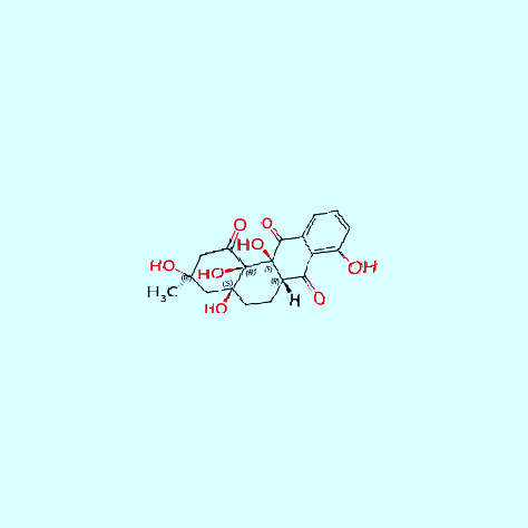 C[C@]1(O)CC(=O)[C@@]2(O)[C@](O)(CC[C@H]3C(=O)c4c(O)cccc4C(=O)[C@]32O)C1